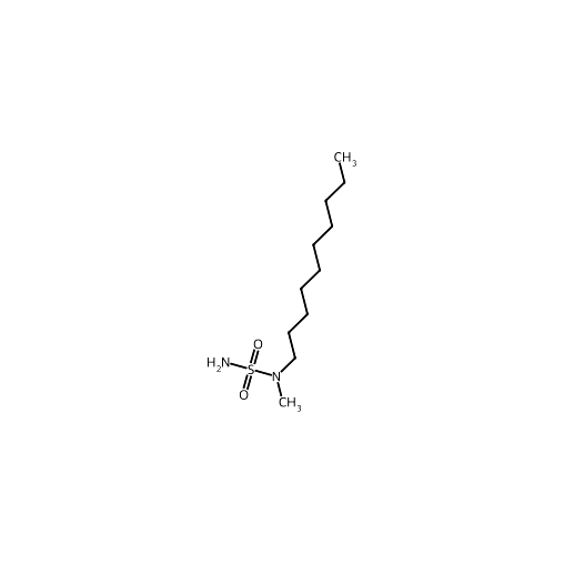 CCCCCCCCCCN(C)S(N)(=O)=O